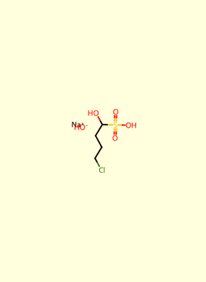 O=S(=O)(O)C(O)CCCCl.[Na+].[OH-]